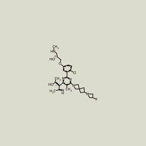 CNC[C@@H](O)COc1ccc(Cl)c(-c2nc(/C(C(C)=N)=C(\C)O)c(C)c(N3CC4(CC(N5CC(F)C5)C4)C3)n2)c1